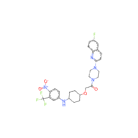 O=C(COC1CCC(Nc2ccc([N+](=O)[O-])c(C(F)(F)F)c2)CC1)N1CCN(c2ccc3cc(F)ccc3n2)CC1